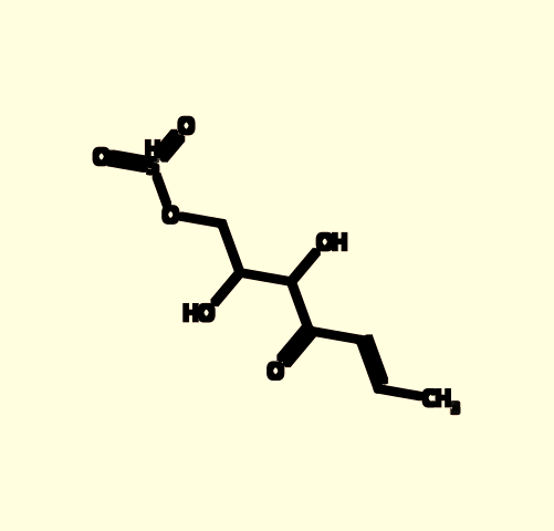 CC=CC(=O)C(O)C(O)CO[SH](=O)=O